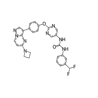 O=C(Nc1cnc(Oc2ccc(-c3cnn4ccc(N5CCC5)nc34)cc2)nc1)Nc1cccc(C(F)F)c1